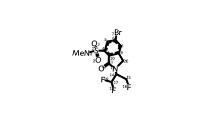 CNS(=O)(=O)c1cc(Br)cc2c1C(=O)N(C(CF)C(F)F)C2